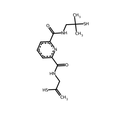 C=C(S)CNC(=O)c1cccc(C(=O)NCC(C)(C)S)n1